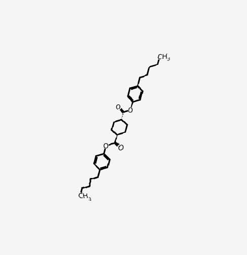 CCCCCc1ccc(OC(=O)[C@H]2CC[C@H](C(=O)Oc3ccc(CCCCC)cc3)CC2)cc1